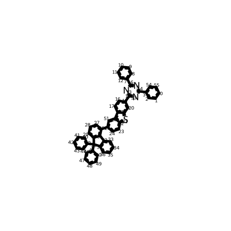 c1ccc(-c2nc(-c3ccccc3)nc(-c3ccc4c(c3)sc3ccc(-c5cccc6c5-c5ccccc5C6(c5ccccc5)c5ccccc5)cc34)n2)cc1